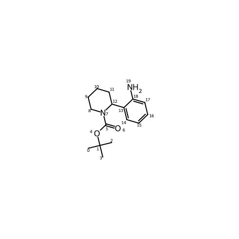 CC(C)(C)OC(=O)N1CCCCC1c1ccccc1N